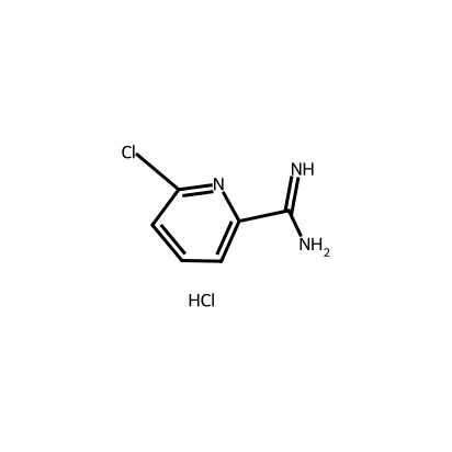 Cl.N=C(N)c1cccc(Cl)n1